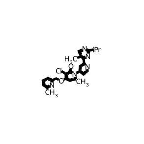 Cc1cccc(COc2cc(C)n(-c3ccnc(-c4nc(C(C)C)ncc4C)c3)c(=O)c2Cl)n1